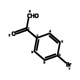 O=CC(=O)c1ccc(Br)cc1